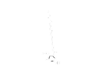 CCCCCCCCCCCCCCCCC(C)c1cc(O)cc(C)c1O